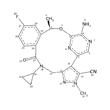 C[C@H]1Oc2nc(cnc2N)-c2c(nn(C)c2C#N)CN(C2CC2)C(=O)c2ccc(F)cc21